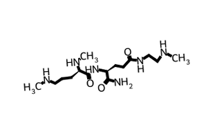 CNCCC[C@@H](NC)C(=O)N[C@@H](CCC(=O)NCCNC)C(N)=O